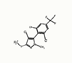 CSc1nn(C)c(-c2c(Cl)cc(C(F)(F)F)cc2Cl)c1Cl